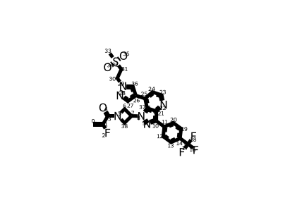 C=C(F)C(=O)N1CC(n2nc(-c3ccc(C(F)(F)F)cc3)c3nccc(-c4cnn(CCS(C)(=O)=O)c4)c32)C1